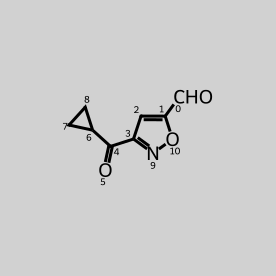 O=Cc1cc(C(=O)C2CC2)no1